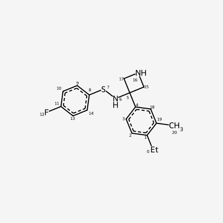 CCc1ccc(C2(NSc3ccc(F)cc3)CNC2)cc1C